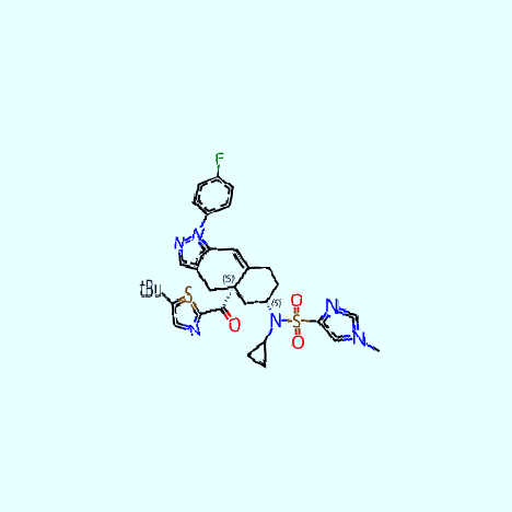 Cn1cnc(S(=O)(=O)N(C2CC2)[C@H]2CCC3=Cc4c(cnn4-c4ccc(F)cc4)C[C@]3(C(=O)c3ncc(C(C)(C)C)s3)C2)c1